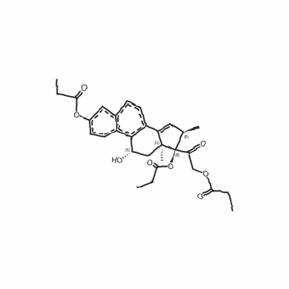 CCC(=O)OCC(=O)[C@@]1(OC(=O)CC)[C@H](C)C=C2c3ccc4cc(OC(=O)CC)ccc4c3[C@@H](O)C[C@@]21C